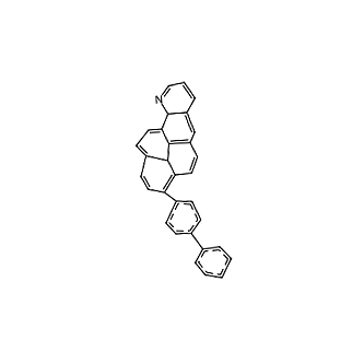 C1=CC2=CC3=C4C(=CC=C5C=CC(c6ccc(-c7ccccc7)cc6)=C(C=C3)C54)C2N=C1